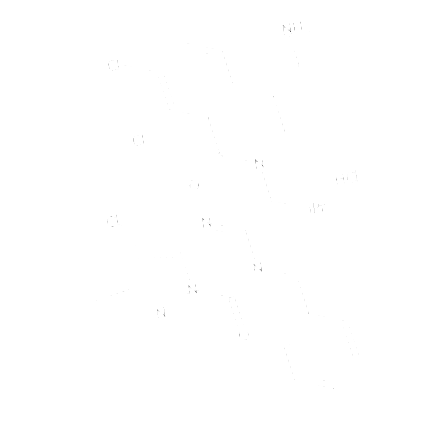 Cc1nn2c(=O)n(Cc3ccccc3)c(C(C(C)C)N(CCCN)C(=O)c3cccc(Cl)c3Cl)nc2c1Cl.Cl